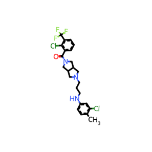 Cc1ccc(NCCCN2CC3CN(C(=O)c4cccc(C(F)(F)F)c4Cl)CC3C2)cc1Cl